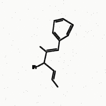 C/C=C/C(/C(C)=C/c1ccccc1)C(C)C